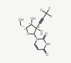 O=c1ccn(C2O[C@H](CO)[C@@H](O)[C@]2(O)C#CC(F)(F)F)c(=O)[nH]1